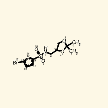 CC1(C)OCC(CNS(=O)(=O)c2ccc(Br)s2)O1